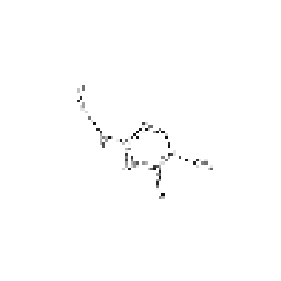 B=BNc1ccn(C)c(=O)n1